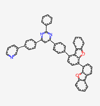 c1ccc(-c2nc(-c3ccc(-c4cccnc4)cc3)cc(-c3ccc(-c4ccc(-c5cccc6c5oc5ccccc56)c5oc6ccccc6c45)cc3)n2)cc1